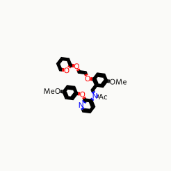 COc1ccc(Oc2ncccc2N(Cc2cc(OC)ccc2OCCOC2CCCCO2)C(C)=O)cc1